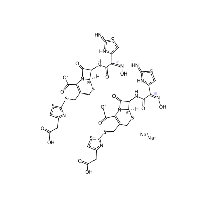 N=c1[nH]c(/C(=N/O)C(=O)NC2C(=O)N3C(C(=O)[O-])=C(CSc4nc(CC(=O)O)cs4)CS[C@H]23)cs1.N=c1[nH]c(/C(=N/O)C(=O)NC2C(=O)N3C(C(=O)[O-])=C(CSc4nc(CC(=O)O)cs4)CS[C@H]23)cs1.[Na+].[Na+]